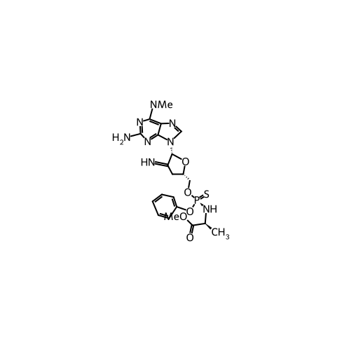 CNc1nc(N)nc2c1ncn2[C@@H]1O[C@H](CO[P@@](=S)(N[C@@H](C)C(=O)OC)Oc2ccccc2)CC1=N